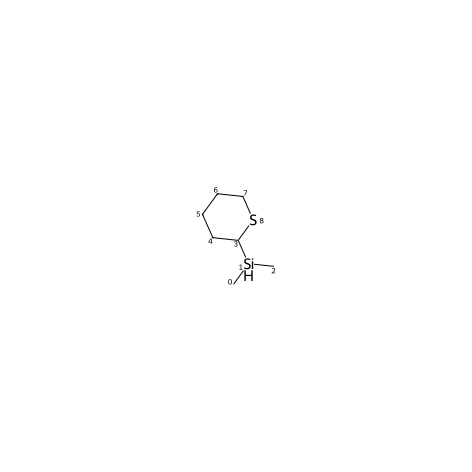 C[SiH](C)C1CCCCS1